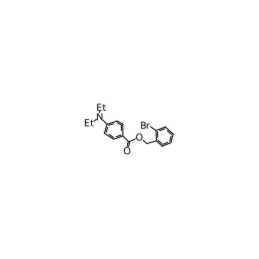 CCN(CC)c1ccc(C(=O)OCc2ccccc2Br)cc1